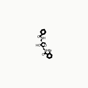 O=C(NC[C@@H]1CO[C@H](CNC(=O)c2ccccc2Br)[C@H]1O)c1ccccc1